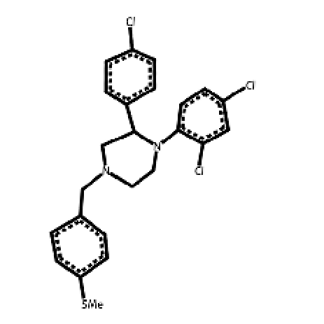 CSc1ccc(CN2CCN(c3ccc(Cl)cc3Cl)C(c3ccc(Cl)cc3)C2)cc1